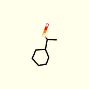 CC(P=O)C1CCCCC1